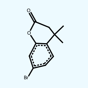 CC1(C)CC(=O)Oc2cc(Br)ccc21